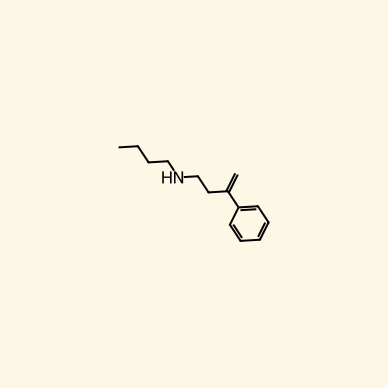 C=C(CCNCCCC)c1ccccc1